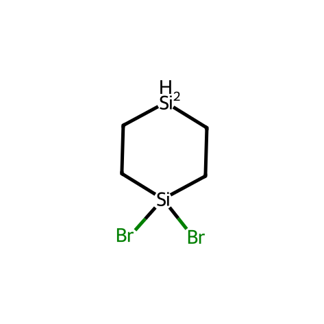 Br[Si]1(Br)CC[SiH2]CC1